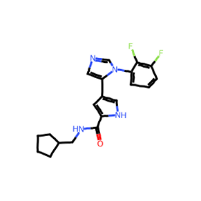 O=C(NCC1CCCC1)c1cc(-c2cncn2-c2cccc(F)c2F)c[nH]1